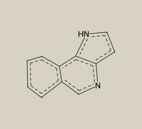 c1ccc2c(c1)cnc1cc[nH]c12